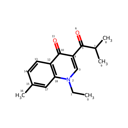 CCn1cc(C(=O)C(C)C)c(=O)c2ccc(C)cc21